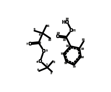 CC(C)(C)OOC(=O)C(C)(C)C.Cc1ccccc1C(=O)OO